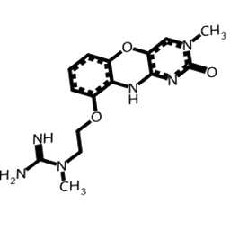 CN(CCOc1cccc2c1Nc1nc(=O)n(C)cc1O2)C(=N)N